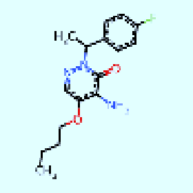 CCCCOc1cnn(C(C)c2ccc(F)cc2)c(=O)c1N